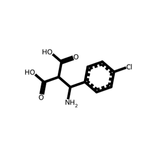 NC(c1ccc(Cl)cc1)C(C(=O)O)C(=O)O